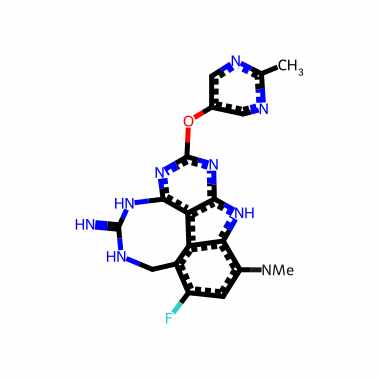 CNc1cc(F)c2c3c1[nH]c1nc(Oc4cnc(C)nc4)nc(c13)NC(=N)NC2